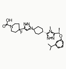 CC(C)c1cccc(O[C@H](C)c2nnc([C@H]3CC[C@H](n4cc(C5(F)CCN(C(=O)O)CC5)nn4)CC3)n2C)c1